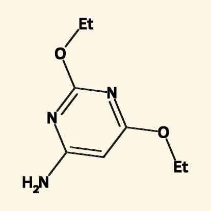 CCOc1cc(N)nc(OCC)n1